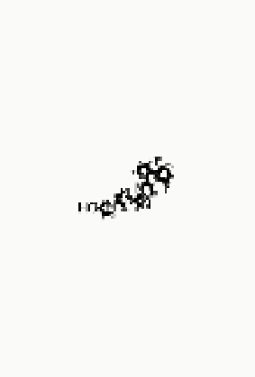 OC1CCN(c2cnn(-c3cnn4ccc(N5CCCC5c5cc(F)ccc5F)nc34)c2)C1